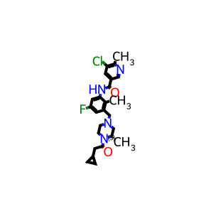 Cc1ncc(C(=O)Nc2cc(F)cc(CN3CCN(C(=O)CC4CC4)[C@@H](C)C3)c2C)cc1Cl